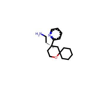 NCC[C@@]1(c2ccccn2)CCOC2(CCCCC2)C1